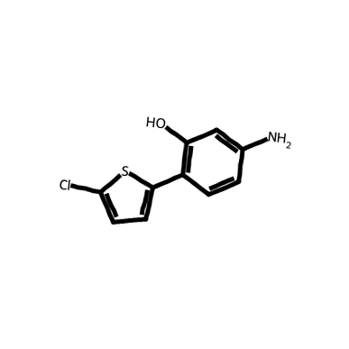 Nc1ccc(-c2ccc(Cl)s2)c(O)c1